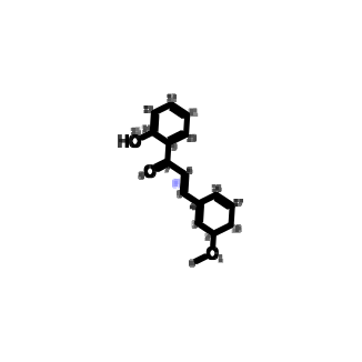 COC1C=C(/C=C/C(=O)c2ccccc2O)C=CC1